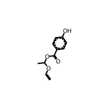 C=COC(C)OC(=O)c1ccc(O)cc1